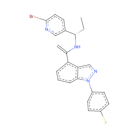 C=C(N[C@@H](CC)c1ccc(Br)nc1)c1cccc2c1cnn2-c1ccc(F)cc1